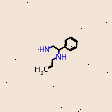 C=CCNC(C[NH])c1ccccc1